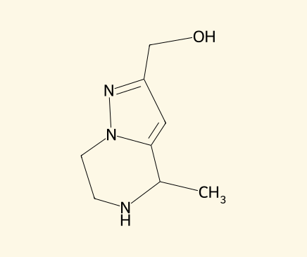 CC1NCCn2nc(CO)cc21